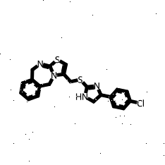 Clc1ccc(C2CNC(SCC3=CSC4=NCc5ccccc5CN34)=N2)cc1